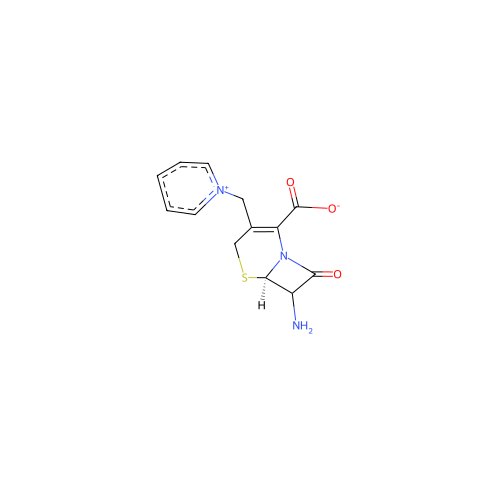 NC1C(=O)N2C(C(=O)[O-])=C(C[n+]3ccccc3)CS[C@H]12